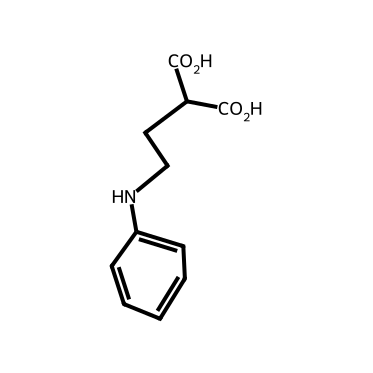 O=C(O)C(CCNc1ccccc1)C(=O)O